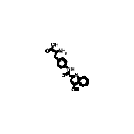 NC(Cc1ccc(NC(=O)c2cc(O)c3ccccc3n2)cc1)C(=O)O